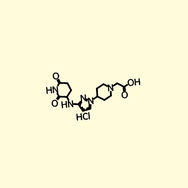 Cl.O=C(O)CN1CCC(n2ccc(NC3CCC(=O)NC3=O)n2)CC1